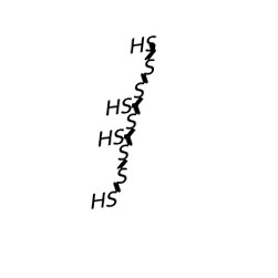 SCCSCCSCC(S)CSCC(S)CSCCSCCS